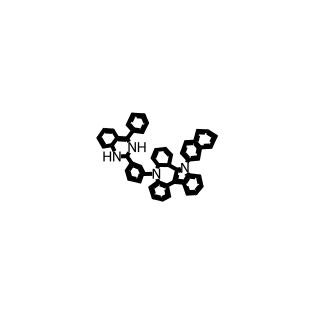 C1=CC2=C(c3ccccc3)NC(c3cccc(N4c5ccccc5-c5c(n(-c6ccc7ccccc7c6)c6ccccc56)C5C=CC=CC54)c3)NC2C=C1